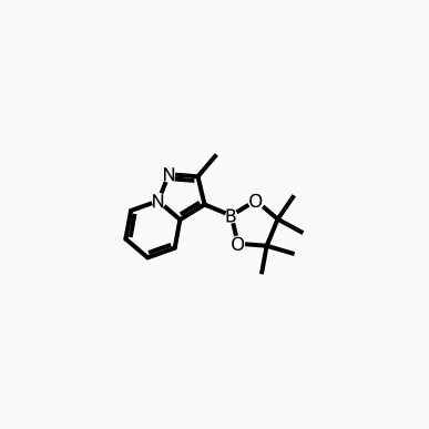 Cc1nn2ccccc2c1B1OC(C)(C)C(C)(C)O1